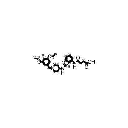 CCOc1cc(CN2CCC(Nc3nc4c(NC(=O)CCC(=O)O)cccc4o3)CC2)cc(OCC)c1F